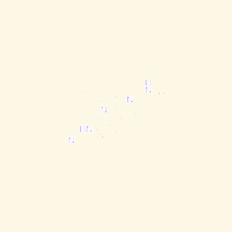 CC(C)(C)OC(=O)NC1CCN(c2c(F)cc3c(=O)c(C(=O)NCCN4CCCCC4)cn4c3c2Oc2cc3ccccc3cc2-4)C1